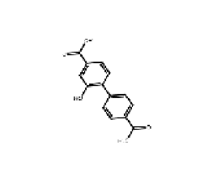 CC(=O)c1ccc(-c2ccc(C(=O)O)cc2O)cc1